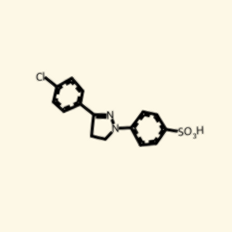 O=S(=O)(O)c1ccc(N2CCC(c3ccc(Cl)cc3)=N2)cc1